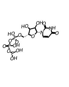 O=c1ccn([C@@H]2O[C@H](COP(=O)(O)OP(=O)(O)OP(O)O)C(O)C2O)c(=O)[nH]1